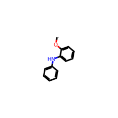 [CH2]Oc1ccccc1Nc1ccccc1